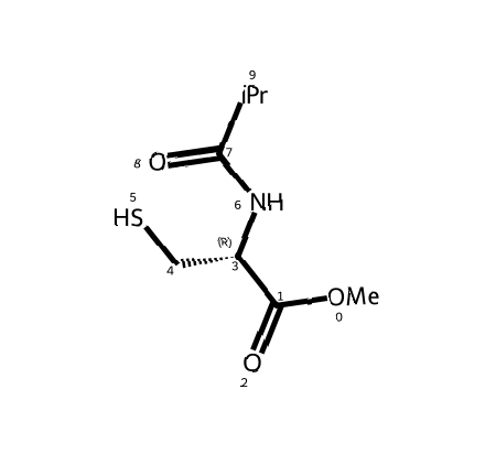 COC(=O)[C@H](CS)NC(=O)C(C)C